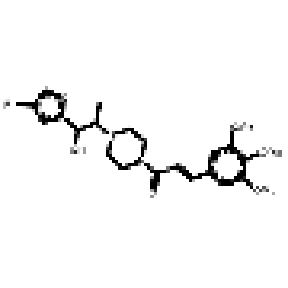 COc1cc(C=CC(=O)N2CCN(C(C)C(O)c3cc(C(C)C)cs3)CC2)cc(OC)c1OC